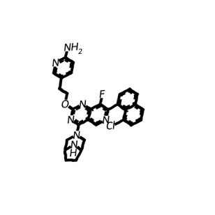 Nc1ccc(CCOc2nc(N3CC4CCC(C3)N4)c3cnc(-c4cccc5cccc(Cl)c45)c(F)c3n2)cn1